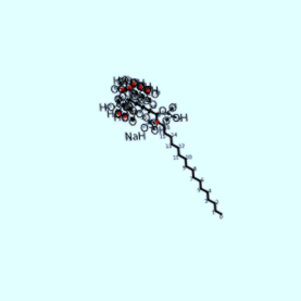 CCCCCCCCCCCCCCCCCCC(OS(=O)(=O)O)C(OS(=O)(=O)O)(OS(=O)(=O)O)C(OS(=O)(=O)O)(OS(=O)(=O)O)C(OS(=O)(=O)O)(OS(=O)(=O)O)C(OS(=O)(=O)O)(OS(=O)(=O)O)OS(=O)(=O)O.[NaH]